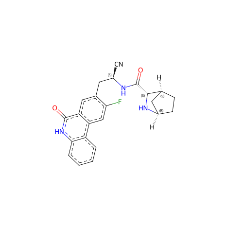 N#C[C@H](Cc1cc2c(=O)[nH]c3ccccc3c2cc1F)NC(=O)[C@H]1N[C@@H]2CC[C@H]1C2